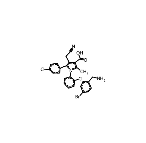 Cc1c(C(=O)O)c(CC#N)c(-c2ccc(Cl)cc2)n1-c1ccccc1Cl.NCc1ccc(Br)cc1